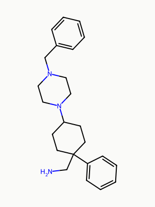 NCC1(c2ccccc2)CCC(N2CCN(Cc3ccccc3)CC2)CC1